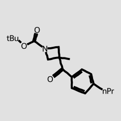 CCCc1ccc(C(=O)C2(C)CN(C(=O)OC(C)(C)C)C2)cc1